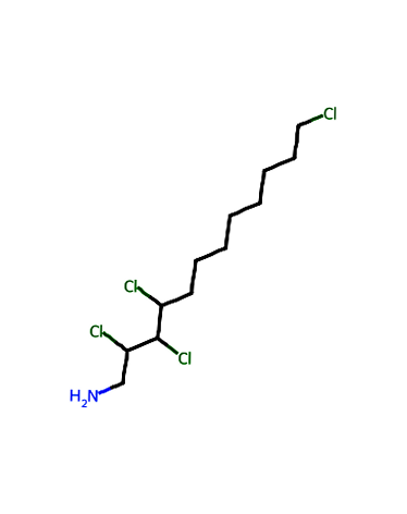 NCC(Cl)C(Cl)C(Cl)CCCCCCCCCl